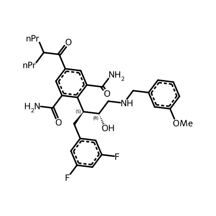 CCCC(CCC)C(=O)c1cc(C(N)=O)c([C@H](Cc2cc(F)cc(F)c2)[C@@H](O)CNCc2cccc(OC)c2)c(C(N)=O)c1